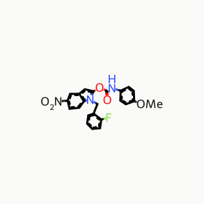 COc1ccc(NC(=O)Oc2cc3cc([N+](=O)[O-])ccc3n2Cc2ccccc2F)cc1